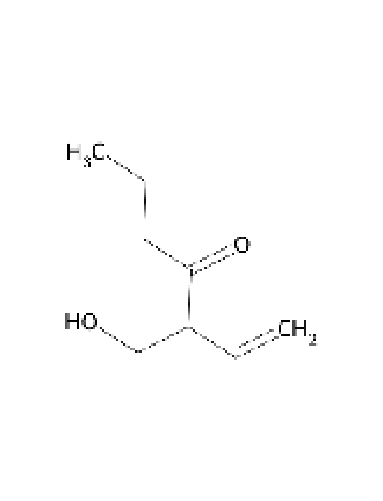 C=CC(CO)C(=O)CCC